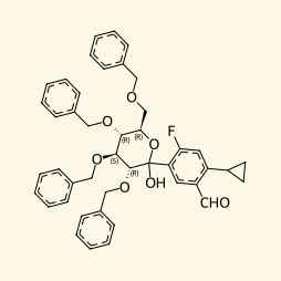 O=Cc1cc(C2(O)O[C@H](COCc3ccccc3)[C@@H](OCc3ccccc3)[C@H](OCc3ccccc3)[C@H]2OCc2ccccc2)c(F)cc1C1CC1